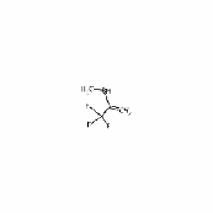 C=C(BC)C(F)(F)F